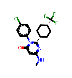 CNc1cc(=O)n(-c2ccc(Cl)cc2)c([C@H]2CC[C@@H](C(F)(F)F)CC2)n1